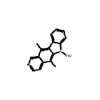 CC(=O)On1c2ccccc2c2c(C)c3cnccc3c(C)c21